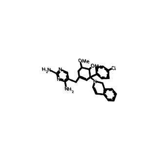 COC1CC(Cc2cnc(N)nc2N)=CC(c2ccc(Cl)cc2)(N2C=Cc3ccccc3C2)C1OC